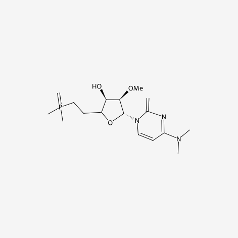 C=C1N=C(N(C)C)C=CN1[C@@H]1OC(CCP(=C)(C)C)[C@@H](O)[C@H]1OC